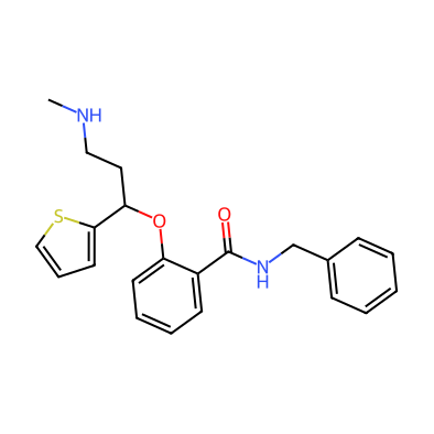 CNCCC(Oc1ccccc1C(=O)NCc1ccccc1)c1cccs1